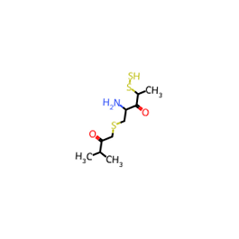 CC(C)C(=O)CSCC(N)C(=O)C(C)SS